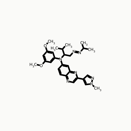 COc1cc(OC)cc(N(c2ccc3ncc(-c4cnn(C)c4)nc3c2)C(CN=NC(C)C)C(C)C)c1